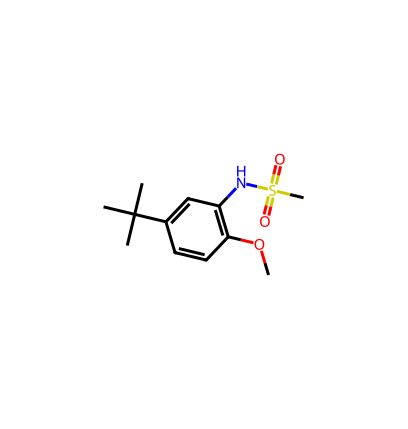 COc1ccc(C(C)(C)C)cc1NS(C)(=O)=O